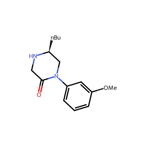 CCCC[C@H]1CN(c2cccc(OC)c2)C(=O)CN1